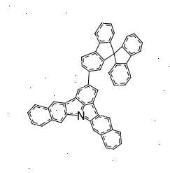 c1ccc2c(c1)-c1ccccc1C21c2ccccc2-c2ccc(-c3cc4c5cc6ccccc6cc5n5c6cc7ccccc7cc6c(c3)c45)cc21